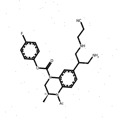 CC(=O)N1c2ccc(C(CN)CNCCC#N)cc2N(C(=O)Oc2ccc(F)cc2)C[C@@H]1C